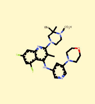 Cc1c(N2CCN(C(=O)O)C(C)(C(C)(C)C)C2)nc2cc(F)cc(F)c2c1Nc1cncc(N2CCOCC2)c1